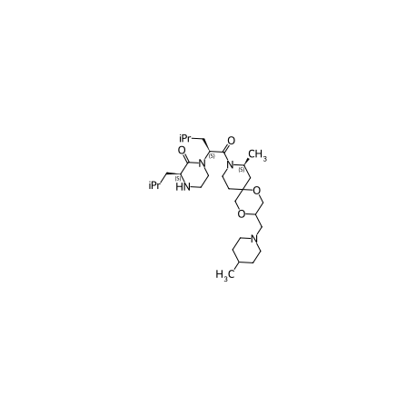 CC(C)C[C@@H]1NCCN([C@@H](CC(C)C)C(=O)N2CCC3(COC(CN4CCC(C)CC4)CO3)C[C@@H]2C)C1=O